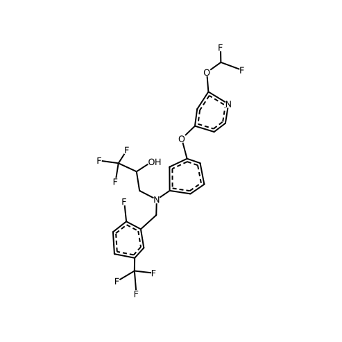 OC(CN(Cc1cc(C(F)(F)F)ccc1F)c1cccc(Oc2ccnc(OC(F)F)c2)c1)C(F)(F)F